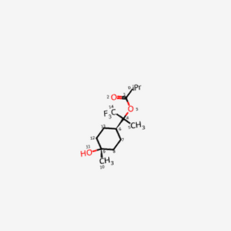 CC(C)C(=O)OC(C)([C@H]1CC[C@](C)(O)CC1)C(F)(F)F